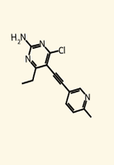 CCc1nc(N)nc(Cl)c1C#Cc1ccc(C)nc1